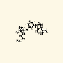 C=Cc1ncnc2c1ncn2-c1cccc(COP(OCCC#N)N(C(C)C)C(C)C)c1